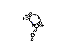 COc1ccc(COC2=CC(O)=C3C(=O)O[C@@H](C)C/C=C\C(=O)[C@@H](O)[C@@H](O)C/C=C/[C@H]3C2)cc1